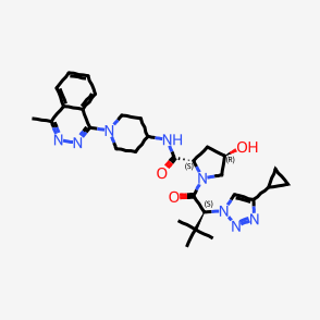 Cc1nnc(N2CCC(NC(=O)[C@@H]3C[C@@H](O)CN3C(=O)[C@@H](n3cc(C4CC4)nn3)C(C)(C)C)CC2)c2ccccc12